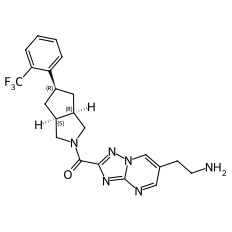 NCCc1cnc2nc(C(=O)N3C[C@H]4C[C@@H](c5ccccc5C(F)(F)F)C[C@H]4C3)nn2c1